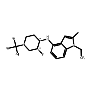 [2H]C([2H])([2H])N1CC[C@@H](Nc2cccc3c2cc(I)n3CC(F)(F)F)[C@@H](F)C1